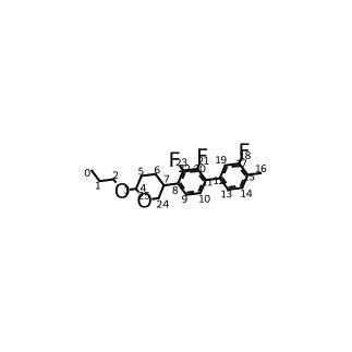 CCCOC1CCC(c2ccc(-c3ccc(C)c(F)c3)c(F)c2F)CO1